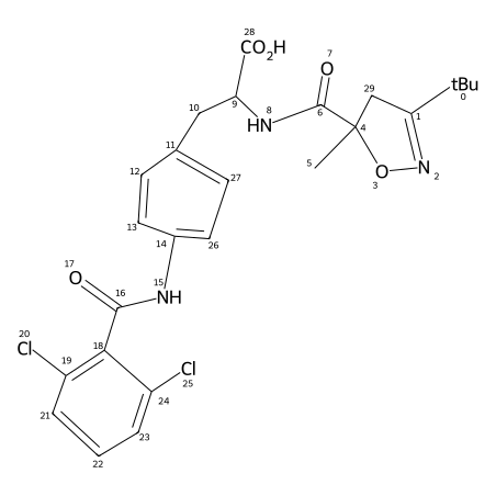 CC(C)(C)C1=NOC(C)(C(=O)NC(Cc2ccc(NC(=O)c3c(Cl)cccc3Cl)cc2)C(=O)O)C1